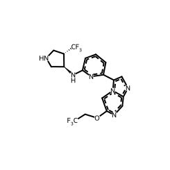 FC(F)(F)COc1cn2c(-c3cccc(N[C@H]4CNC[C@@H]4C(F)(F)F)n3)cnc2cn1